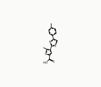 Cc1ccc(-c2csc(-c3cc(C(O)=S)sc3C)n2)cc1